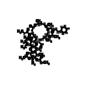 CCC(=O)O[C@@H]1CC(=O)O[C@H](C)CCN(C)N(CCCCc2ccccc2)C[C@H](OC(C)=O)[C@H](C)C[C@H](CC=O)[C@H]([C@@H]2O[C@H](C)[C@@H](O[C@@H]3C[C@@](C)(OC(C)=O)[C@@H](OC(=O)CC)[C@H](C)O3)[C@H](N(C)C)[C@H]2O)[C@@H]1OC